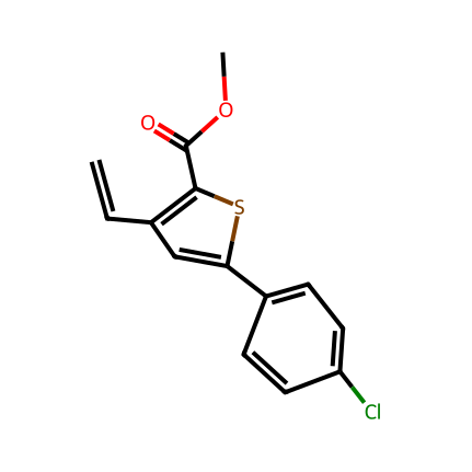 C=Cc1cc(-c2ccc(Cl)cc2)sc1C(=O)OC